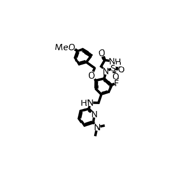 COc1ccc(COc2cc(CNc3cccc(N(C)C)n3)cc(F)c2N2CC(=O)NS2(=O)=O)cc1